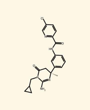 C[C@@]1(c2cccc(NC(=O)c3ccc(Cl)cn3)c2)CC(=O)N(CC2CC2)C(N)=N1